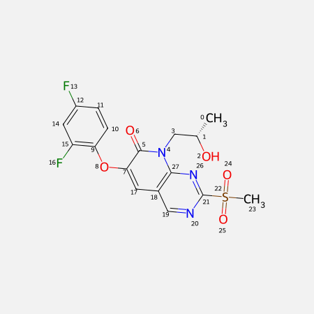 C[C@H](O)Cn1c(=O)c(Oc2ccc(F)cc2F)cc2cnc(S(C)(=O)=O)nc21